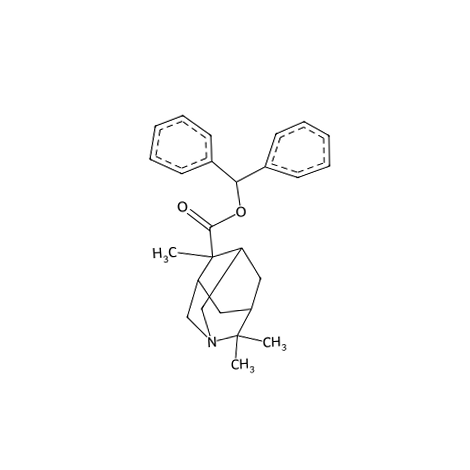 CC1(C(=O)OC(c2ccccc2)c2ccccc2)C2CC3CC1CN(C2)C3(C)C